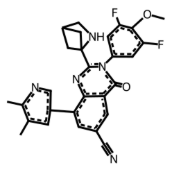 COc1c(F)cc(-n2c(C34CC(CN3)C4)nc3c(-c4cnc(C)c(C)c4)cc(C#N)cc3c2=O)cc1F